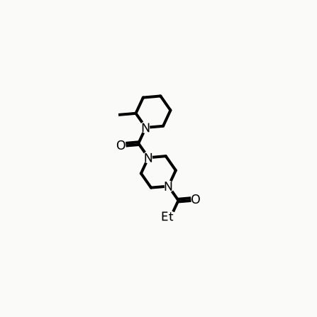 CCC(=O)N1CCN(C(=O)N2CCCCC2C)CC1